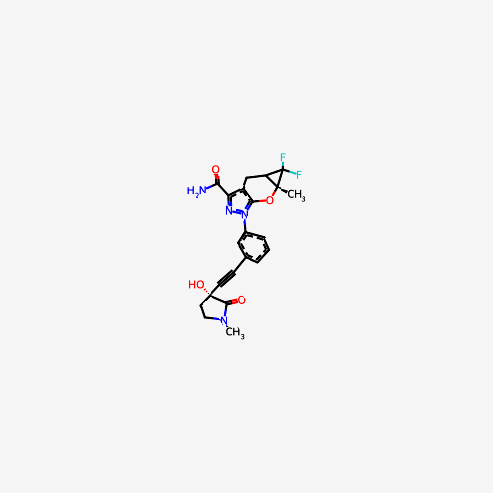 CN1CC[C@@](O)(C#Cc2cccc(-n3nc(C(N)=O)c4c3O[C@]3(C)C(C4)C3(F)F)c2)C1=O